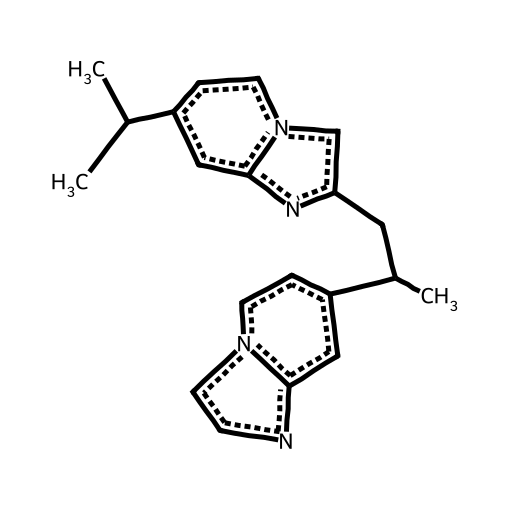 CC(C)c1ccn2cc(CC(C)c3ccn4ccnc4c3)nc2c1